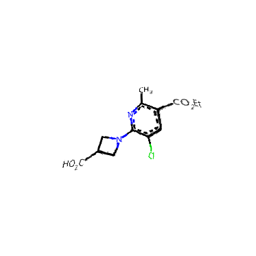 CCOC(=O)c1cc(Cl)c(N2CC(C(=O)O)C2)nc1C